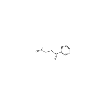 O=[PH]CC[SH](S)c1ccccn1